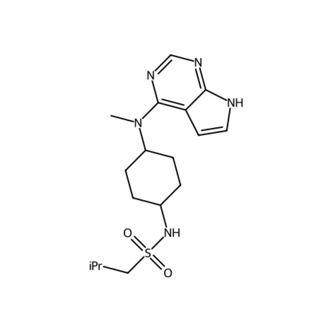 CC(C)CS(=O)(=O)NC1CCC(N(C)c2ncnc3[nH]ccc23)CC1